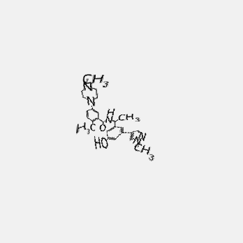 Cc1ccc(N2CCN(C)CC2)cc1C(=O)NC(C)c1cc(O)cc(-c2cnn(C)c2)c1